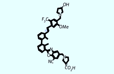 COc1cc(/C=C/c2cccc(-c3cccc(-c4nc5cc(CN6CC[C@@H](C(=O)O)C6)cc(C#N)c5o4)c3C)c2C)c(C(F)(F)F)cc1CN1CC[C@@H](O)C1